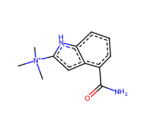 C[N+](C)(C)c1cc2c(C(N)=O)cccc2[nH]1